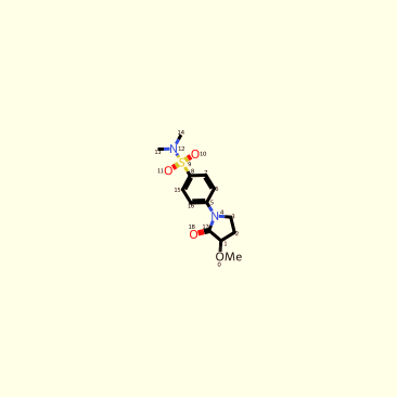 COC1CCN(c2ccc(S(=O)(=O)N(C)C)cc2)C1=O